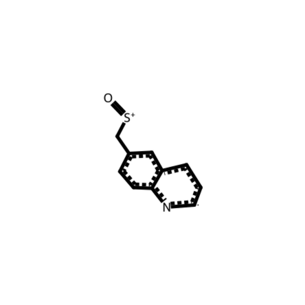 O=[S+]Cc1ccc2n[c]ccc2c1